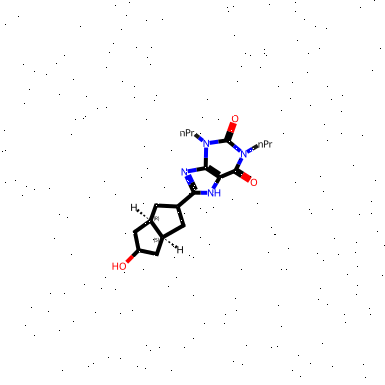 CCCn1c(=O)c2[nH]c(C3C[C@H]4CC(O)C[C@H]4C3)nc2n(CCC)c1=O